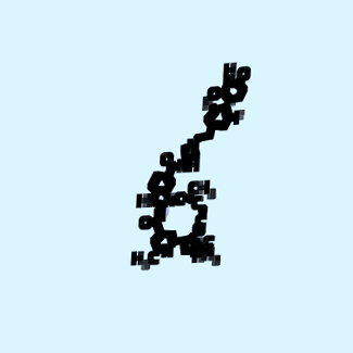 CN/C1=C(\C=N)c2cc(cc(C)n2)C(=O)/N=C2\Nc3ccc(C(=O)NC4CN(CCc5cc(F)c([C@H]6CCC(=O)NC6=O)c(F)c5)C4)cc3N2C[C@H](C)CCCO1